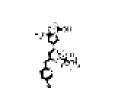 CC1(C)C[C@H](CCC(Cc2ccc(Br)cn2)N[S+]([O-])C(C)(C)C)CN1C(=O)O